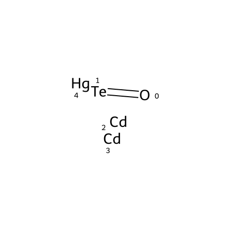 O=[Te].[Cd].[Cd].[Hg]